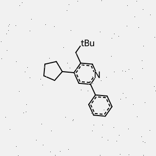 CC(C)(C)Cc1cnc(-c2ccccc2)cc1C1CCCC1